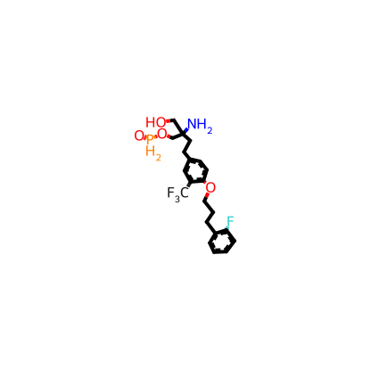 NC(CO)(CCc1ccc(OCCCc2ccccc2F)c(C(F)(F)F)c1)CO[PH2]=O